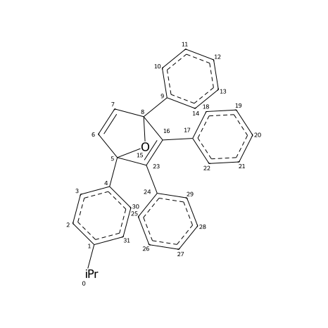 CC(C)c1ccc(C23C=CC(c4ccccc4)(O2)C(c2ccccc2)=C3c2ccccc2)cc1